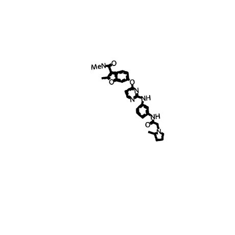 CNC(=O)c1c(C)oc2cc(Oc3ccnc(Nc4cccc(NC(=O)CN5CCCC5C)c4)n3)ccc12